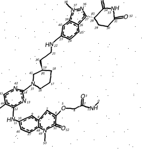 CNC(=O)COc1cc2cc(Nc3nc(N4CCC[C@H](CCNc5ccc6c([C@H]7CCC(=O)NC7=O)nn(C)c6c5)C4)ncc3Cl)ccc2n(C)c1=O